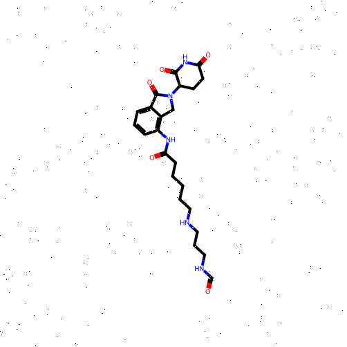 O=CNCCCNCCCCCC(=O)Nc1cccc2c1CN(C1CCC(=O)NC1=O)C2=O